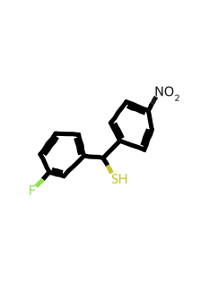 O=[N+]([O-])c1ccc(C(S)c2cccc(F)c2)cc1